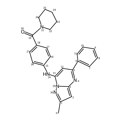 Cc1cc2nc(-c3ccccc3)cc(Nc3ccc(C(=O)N4CCCCC4)cc3)n2n1